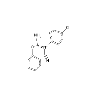 N#C[N+](=C(N)Oc1ccccc1)c1ccc(Cl)cc1